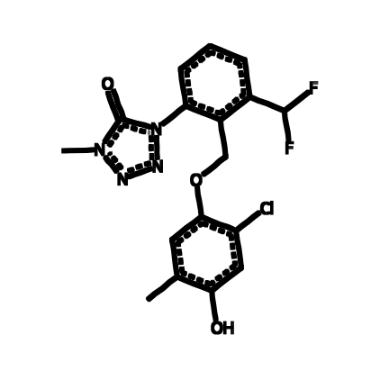 Cc1cc(OCc2c(C(F)F)cccc2-n2nnn(C)c2=O)c(Cl)cc1O